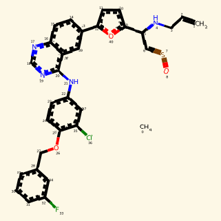 C.C=CCNC(C=S=O)c1ccc(-c2ccc3ncnc(Nc4ccc(OCc5cccc(F)c5)c(Cl)c4)c3c2)o1